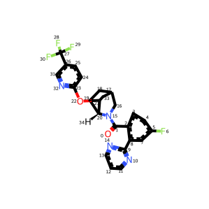 O=C(c1ccc(F)cc1-c1ncccn1)N1CC2CC[C@@H]1C(Oc1ccc(C(F)(F)F)cn1)C2